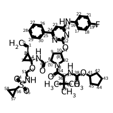 C=C[C@@H]1C[C@]1(NC(=O)[C@@H]1C[C@@H](Oc2nc(Nc3ccc(F)cc3)cc(-c3ccccc3)n2)CN1C(=O)[C@@H](NC(=O)OC1CCCC1)C(C)(C)C)OCNS(=O)(=O)C1CC1